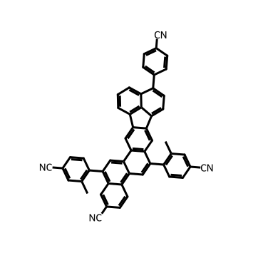 Cc1cc(C#N)ccc1-c1cc2c3cc4c(cc3c(-c3ccc(C#N)cc3C)cc2c2ccc(C#N)cc12)-c1ccc(-c2ccc(C#N)cc2)c2cccc-4c12